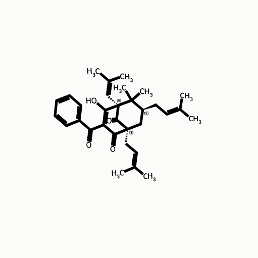 CC(C)=CC[C@H]1C[C@@]2(CC=C(C)C)C(=O)C(C(=O)c3ccccc3)=C(O)[C@](C=C(C)C)(C2=O)C1(C)C